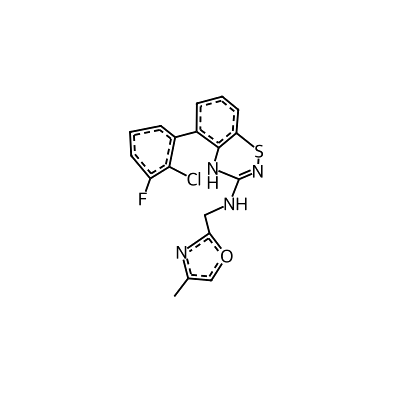 Cc1coc(CNC2=NSc3cccc(-c4cccc(F)c4Cl)c3N2)n1